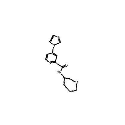 O=C(NC1CCCOC1)c1cc(-n2ccnc2)ccn1